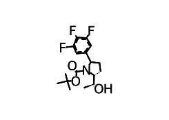 C[C@H](O)[C@H]1CCC(c2cc(F)c(F)c(F)c2)N1C(=O)OC(C)(C)C